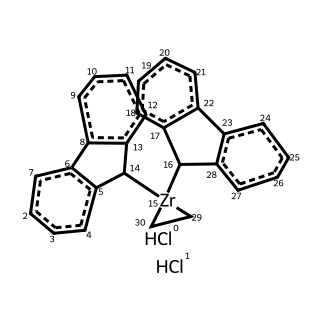 Cl.Cl.c1ccc2c(c1)-c1ccccc1[CH]2[Zr]1([CH]2c3ccccc3-c3ccccc32)[CH2][CH2]1